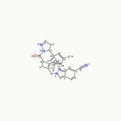 CC1=C(Cn2cc3ccc(C#N)cc3n2)CC1C(=O)N1N=CCC1c1cc(F)cc(F)c1